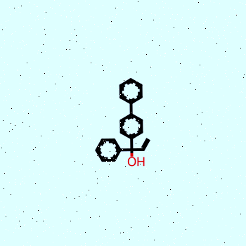 C=CC(O)(c1ccccc1)c1ccc(-c2ccccc2)cc1